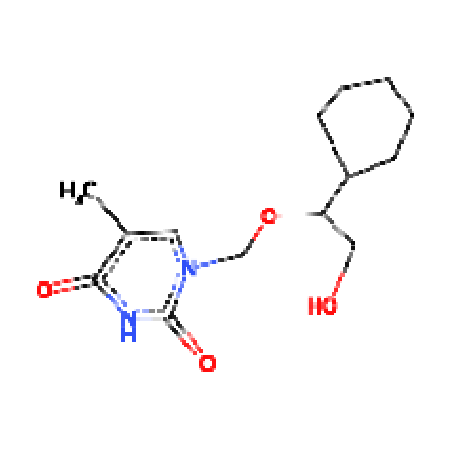 Cc1cn(COC(CO)C2CCCCC2)c(=O)[nH]c1=O